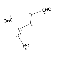 CCCC=C(C=O)CCC=O